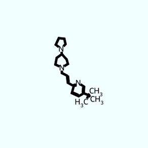 CC(C)(C)c1ccc(/C=C/CN2CCC(N3CCCC3)CC2)nc1